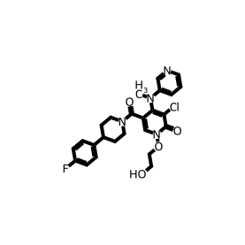 CN(c1cccnc1)c1c(C(=O)N2CCC(c3ccc(F)cc3)CC2)cn(OCCO)c(=O)c1Cl